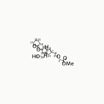 COC(=O)COCCC1=C[C@@H]2C[C@H](OC3CCCCO3)[C@@H](CO)[C@@H]2C1